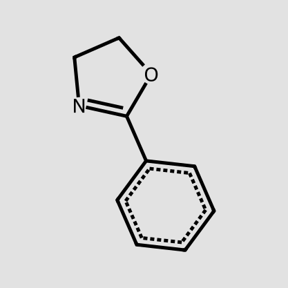 c1ccc(C2=NCCO2)cc1